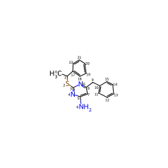 CC(Sc1nc(N)cc(Cc2ccccc2)n1)c1ccccc1